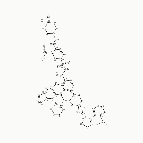 CC(C)c1ccccc1[C@@H]1CCC[C@@H]1N1CC2(CCN(c3ccc(C(=O)NS(=O)(=O)c4ccc(NC[C@H]5CC[C@](C)(O)CC5)c([N+](=O)[O-])c4)c(Oc4cc5cc[nH]c5nc4OC[C@@H]4COCCO4)c3)CC2)C1